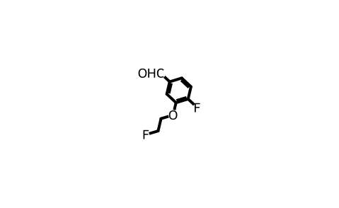 O=Cc1ccc(F)c(OCCF)c1